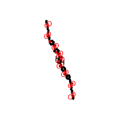 C=CC(=O)OCCCCOC(=O)/C=C/c1ccc(C(=O)Oc2ccc(C(=O)OC3CO[C@@H]4[C@@H](OC(=O)c5ccc(OC(=O)c6ccc(/C=C/C(=O)OCCCCOC(=O)C=C)cc6)cc5)CO[C@H]34)cc2)cc1